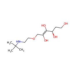 CC(C)(C)NCCOC/C(O)=C(\O)[C@H](O)CCO